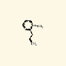 C=CCc1nccc[n+]1C